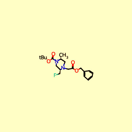 C[C@@H]1CN(CC(=O)OCc2ccccc2)[C@@H](CF)CN1C(=O)OC(C)(C)C